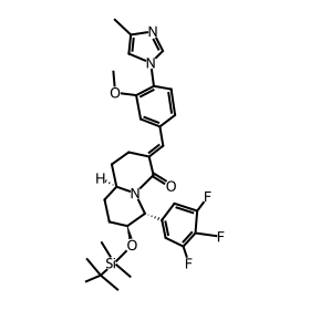 COc1cc(C=C2CC[C@@H]3CC[C@H](O[Si](C)(C)C(C)(C)C)[C@@H](c4cc(F)c(F)c(F)c4)N3C2=O)ccc1-n1cnc(C)c1